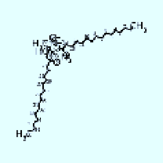 CCCCCCCCCCCCCCCC(=O)OC(C)(OC(=O)CCCCCCCCCCCCCCC)C(C)(O)NC